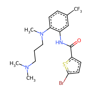 CN(C)CCCN(C)c1ccc(C(F)(F)F)cc1NC(=O)c1ccc(Br)s1